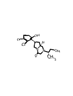 C[C@@H](CO)N1CC(=O)N2C[C@@H](c3c(O)ccc(Cl)c3Cl)C[C@H]2C1